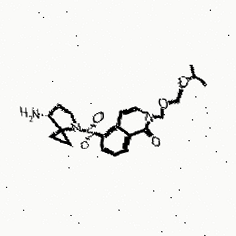 CC(C)OCOCn1ccc2c(S(=O)(=O)N3CC[C@@H](N)C34CC4)cccc2c1=O